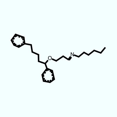 CCCCCCN=CCCOC(CCCCc1ccccc1)c1ccccc1